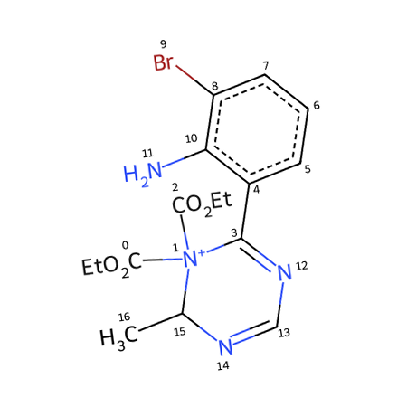 CCOC(=O)[N+]1(C(=O)OCC)C(c2cccc(Br)c2N)=NC=NC1C